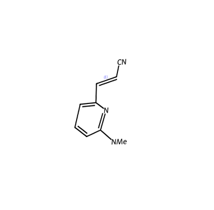 CNc1cccc(/C=C/C#N)n1